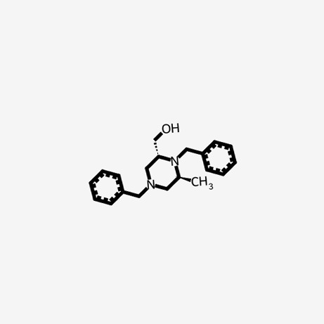 C[C@H]1CN(Cc2ccccc2)C[C@H](CO)N1Cc1ccccc1